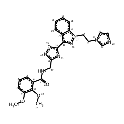 COc1cccc(C(=O)NCc2noc(-c3nn(CCn4ccnc4)c4ccccc34)n2)c1OC